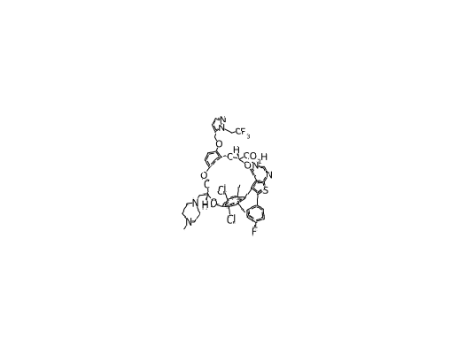 Cc1c(Cl)c2c(Cl)c(C)c1-c1c(-c3ccc(F)cc3)sc3ncnc(c13)O[C@@H](C(=O)O)Cc1cc(ccc1OCc1ccnn1CC(F)(F)F)OC[C@@H](CN1CCN(C)CC1)O2